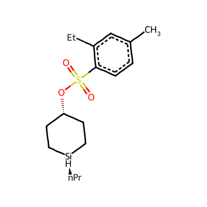 CCC[Si@H]1CC[C@H](OS(=O)(=O)c2ccc(C)cc2CC)CC1